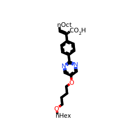 CCCCCCCCC=C(C(=O)O)c1ccc(-c2ncc(OCCCCOCCCCCC)cn2)cc1